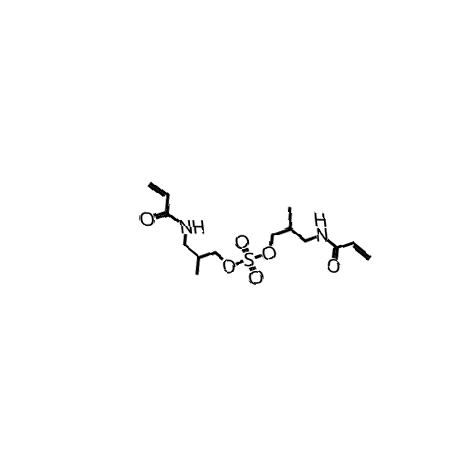 C=CC(=O)NCC(C)COS(=O)(=O)OCC(C)CNC(=O)C=C